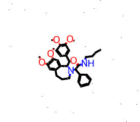 CCCCNC(=O)C(c1ccccc1)N1CCCc2cc(OC)c(OC)cc2C1Cc1ccc(OC)c(OC)c1